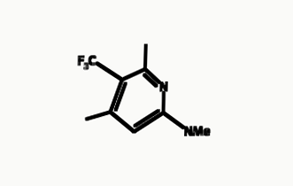 CNc1cc(C)c(C(F)(F)F)c(C)n1